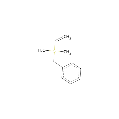 C=CS(C)(C)Cc1ccccc1